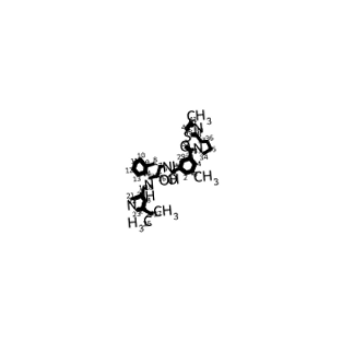 Cc1cc(C(=O)N[C@@H](Cc2ccccc2)[C@H](O)CNCc2cncc(C(C)C)c2)cc(C(=O)N2CCCC2c2nc(C)cs2)c1